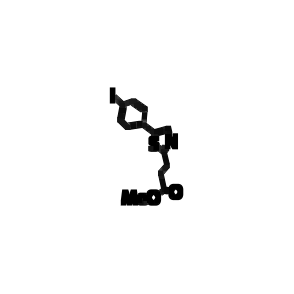 COC(=O)CCc1ncc(-c2ccc(I)cc2)s1